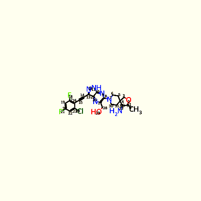 C[C@@H]1OCC2(CCN(c3nc4[nH]nc(C#Cc5c(F)cc(F)cc5Cl)c4nc3CO)CC2)[C@@H]1N